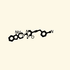 Cn1c(N2CCC3(CC2)Cc2ccccc2[C@H]3N)ncc(C#CCc2cccc(C#N)c2)c1=O